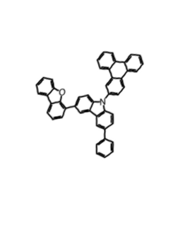 c1ccc(-c2ccc3c(c2)c2cc(-c4cccc5c4oc4ccccc45)ccc2n3-c2ccc3c4ccccc4c4ccccc4c3c2)cc1